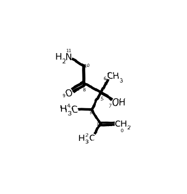 C=C(C)C(C)C(C)(O)C(=O)CN